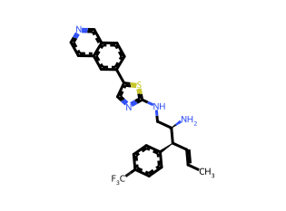 C/C=C/[C@@H](c1ccc(C(F)(F)F)cc1)[C@H](N)CNc1ncc(-c2ccc3cnccc3c2)s1